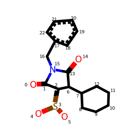 O=C1C(=S(=O)=O)C(C2CCCCC2)C(=O)N1Cc1ccccc1